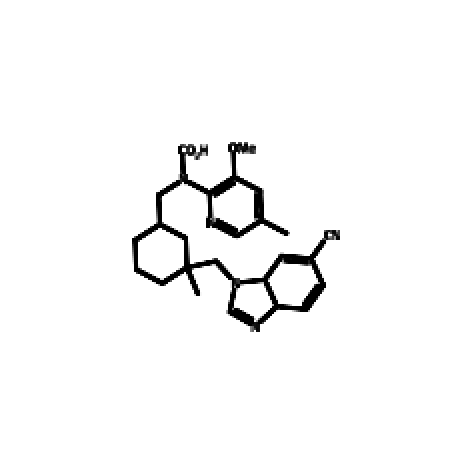 COc1cc(C)cnc1N(CC1CCCC(C)(CN2C=NC3C=CC(C#N)=CC32)C1)C(=O)O